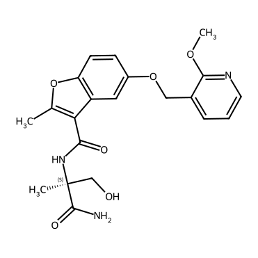 COc1ncccc1COc1ccc2oc(C)c(C(=O)N[C@@](C)(CO)C(N)=O)c2c1